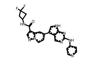 O=C(NC1CC(F)(F)C1)c1cnn2ccc(-c3c[nH]c4nc(Nc5ccncc5)ncc34)cc12